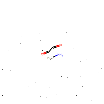 CN.O=CC=O